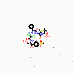 CC1(C)S[C@@H]2[C@H](NC(=O)[C@H](N)c3ccccc3)C(=O)N2[C@H]1C(=O)O.CS(=O)(=O)c1ccc([C@@H](O)[C@@H](CO)NC(=O)C(Cl)Cl)cc1